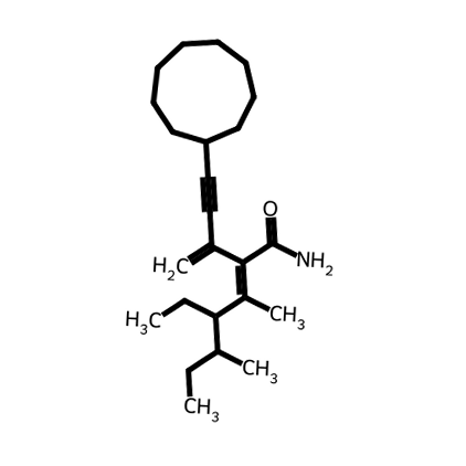 C=C(C#CC1CCCCCCCC1)/C(C(N)=O)=C(/C)C(CC)C(C)CC